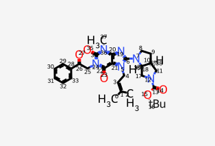 CC(C)=CCn1c(N2CC[C@H]3CN(C(=O)OC(C)(C)C)C[C@H]32)nc2c1c(=O)n(CC(=O)c1ccccc1)c(=O)n2C